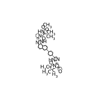 COC(=O)N[C@H](C(=O)N1CCC[C@H]1c1nc2ccc3cc(-c4ccc(-c5cnc([C@@H]6C[C@]7(CCOC7)CN6C(=O)[C@@H](C)C(C)C)[nH]5)cc4)ccc3c2[nH]1)C(C)C